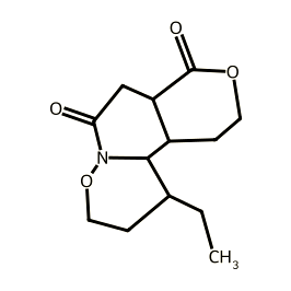 CCC1CCON2C(=O)CC3C(=O)OCCC3C12